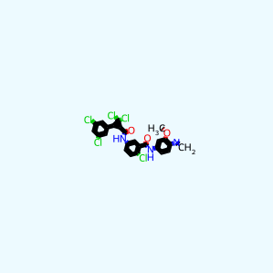 C=Nc1ccc(NC(=O)c2cc(NC(=O)C3C(c4cc(Cl)cc(Cl)c4)C3(Cl)Cl)ccc2Cl)cc1OC